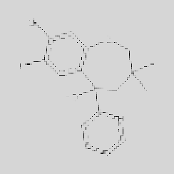 CC1(C)COc2cc(Cl)c(F)cc2C(O)(c2ccccn2)C1